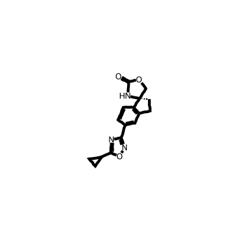 O=C1N[C@@]2(CCc3cc(-c4noc(C5CC5)n4)ccc32)CO1